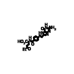 CCC(=O)CC[C@@H](NC(=O)c1ccc(NCc2cnc3nc(N)[nH]c(=O)c3n2)cc1)C(=O)O